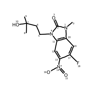 Cn1c(=O)n(CCC(C)(C)O)c2cc([N+](=O)[O-])c(F)cc21